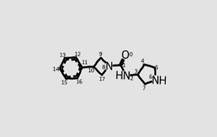 O=C(NC1CCNC1)N1CC(c2ccccc2)C1